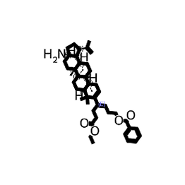 C=C(C)[C@@H]1CC[C@]2(N)CC[C@]3(C)[C@H](CC[C@@H]4[C@@]5(C)CC=C(/C(=C/CCOC(=O)c6ccccc6)CCC(=O)OCC)C(C)(C)[C@@H]5CC[C@]43C)[C@@H]12